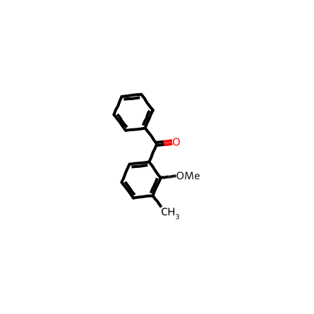 COc1c(C)cccc1C(=O)c1ccccc1